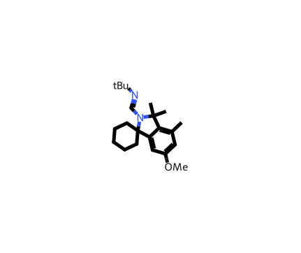 COc1cc(C)c2c(c1)C1(CCCCC1)N(C=NC(C)(C)C)C2(C)C